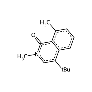 Cc1cccc2c(C(C)(C)C)cn(C)c(=O)c12